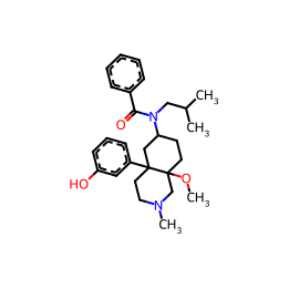 COC12CCC(N(CC(C)C)C(=O)c3ccccc3)CC1(c1cccc(O)c1)CCN(C)C2